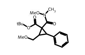 COCC1C(c2ccccc2)C1(C(=O)OC(C)(C)C)C(=O)N(C)OC